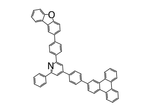 c1ccc(-c2cc(-c3ccc(-c4ccc5c6ccccc6c6ccccc6c5c4)cc3)cc(-c3ccc(-c4ccc5oc6ccccc6c5c4)cc3)n2)cc1